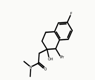 CC(C)C1c2ccc(F)cc2CCC1(O)CC(=O)N(C)C